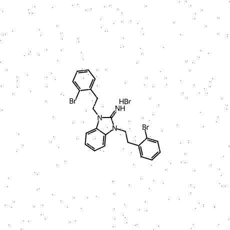 Br.N=c1n(CCc2ccccc2Br)c2ccccc2n1CCc1ccccc1Br